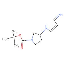 CC(C)(C)OC(=O)N1CCC(N/C=C\C=N)C1